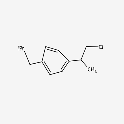 CC(C)Cc1ccc(C(C)CCl)cc1